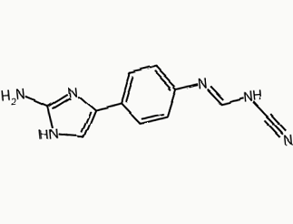 N#CN/C=N/c1ccc(-c2c[nH]c(N)n2)cc1